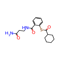 NC(=O)CCNC(=O)c1ccccc1SC(=O)C1CCCCC1